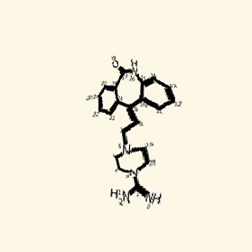 N=C(N)N1CCN(CC=C2c3ccccc3NC(=O)c3ccccc32)CC1